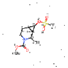 CC1[C@H]2C(CCN1C(=O)OC(C)(C)C)C2OS(=O)(=O)C(F)(F)F